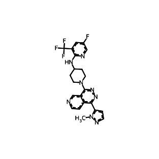 Cn1nccc1-c1nnc(N2CCC(Nc3ncc(F)cc3C(F)(F)F)CC2)c2cnccc12